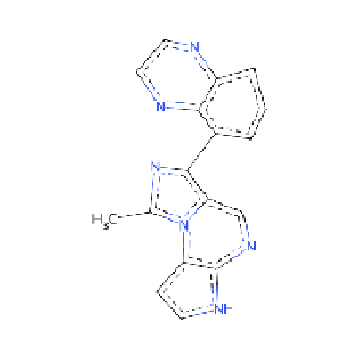 Cc1nc(-c2cccc3nccnc23)c2cnc3[nH]ccc3n12